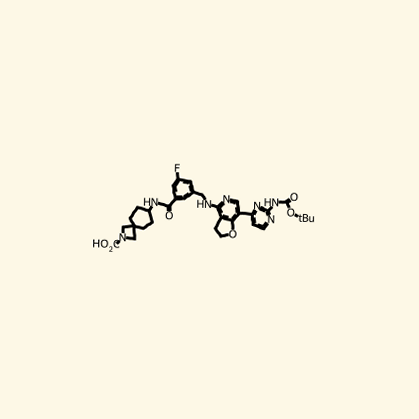 CC(C)(C)OC(=O)Nc1nccc(-c2cnc(NCc3cc(F)cc(C(=O)NC4CCC5(CC4)CN(C(=O)O)C5)c3)c3c2OCC3)n1